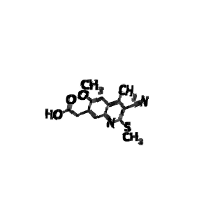 COc1cc2c(C)c(C#N)c(SC)nc2cc1CC(=O)O